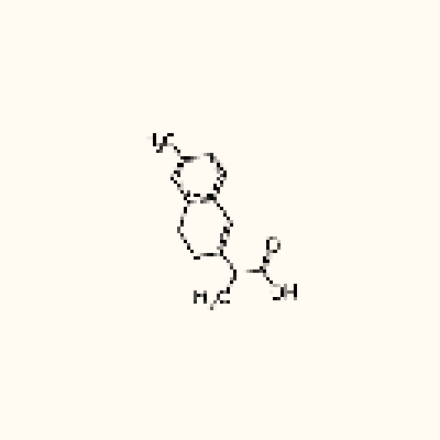 Cc1ccc2c(c1)CCC(C(C)C(=O)O)=C2